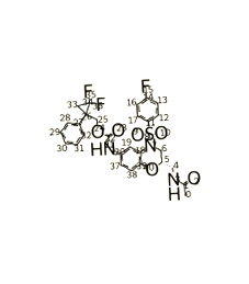 CC(=O)NC[C@H]1CN(S(=O)(=O)c2ccc(F)cc2)c2cc(NC(=O)OCC3(c4ccccc4)CC3(F)F)ccc2O1